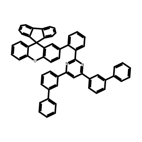 c1ccc(-c2cccc(-c3cc(-c4cccc(-c5ccccc5)c4)nc(-c4ccccc4-c4ccc5c(c4)C4(c6ccccc6O5)c5ccccc5-c5ccccc54)n3)c2)cc1